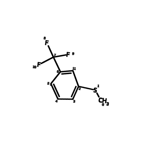 CSc1cc[c]c(C(F)(F)F)c1